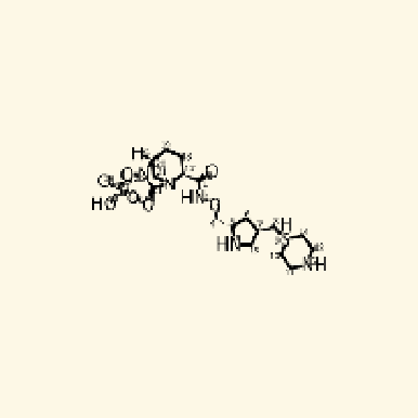 O=C(NOC[C@@H]1C[C@@H](C[SH]2CCNCC2)CN1)[C@@H]1CC[C@@H]2CN1C(=O)N2OS(=O)(=O)O